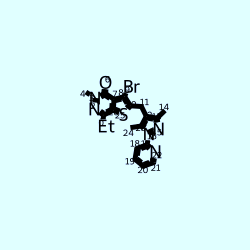 CCc1nn(C)c(=O)c2c(Br)c(Cc3c(C)nn(-c4ccccn4)c3C)sc12